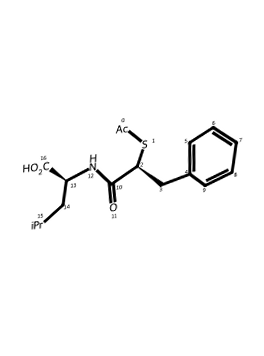 CC(=O)S[C@@H](Cc1ccccc1)C(=O)N[C@@H](CC(C)C)C(=O)O